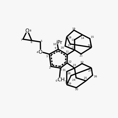 Cc1cc(OCC2CO2)c(C(C)C)c(C23CC4CC(CC(C4)C2)C3)c1C12CC3CC(CC(C3)C1)C2